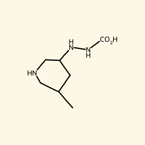 CC1CNCC(NNC(=O)O)C1